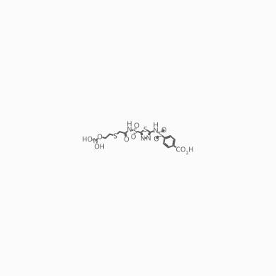 O=C(CSCCON(O)O)NS(=O)(=O)c1nnc(NS(=O)(=O)c2ccc(C(=O)O)cc2)s1